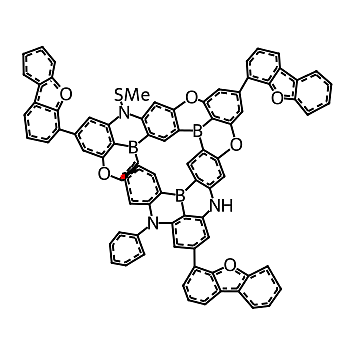 CSN1c2cc3c(cc2B2c4ccccc4Oc4cc(-c5cccc6c5oc5ccccc56)cc1c42)B1c2cc4c(cc2Oc2cc(-c5cccc6c5oc5ccccc56)cc(c21)O3)Nc1cc(-c2cccc3c2oc2ccccc23)cc2c1B4c1ccccc1N2c1ccccc1